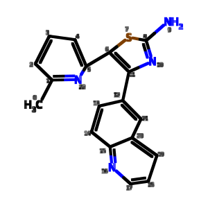 Cc1cccc(-c2sc(N)nc2-c2ccc3ncccc3c2)n1